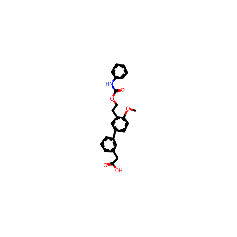 COc1ccc(-c2cccc(CC(=O)O)c2)cc1CCOC(=O)Nc1ccccc1